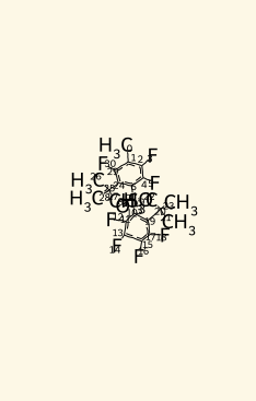 Cc1c(F)c(F)c(S(=O)(=O)c2c(F)c(F)c(F)c(F)c2C(C)(C)C)c(C(C)(C)C)c1F